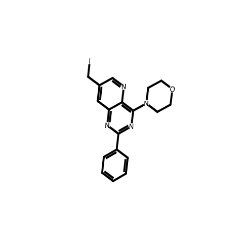 ICc1cnc2c(N3CCOCC3)nc(-c3ccccc3)nc2c1